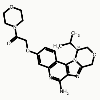 CC(C)[C@H]1COCc2nc3c(N)nc4cc(OCC(=O)N5CCOCC5)ccc4c3n21